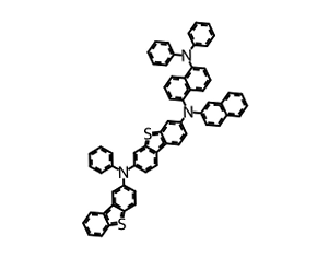 c1ccc(N(c2ccc3c(c2)sc2cc(N(c4ccc5ccccc5c4)c4cccc5c(N(c6ccccc6)c6ccccc6)cccc45)ccc23)c2ccc3sc4ccccc4c3c2)cc1